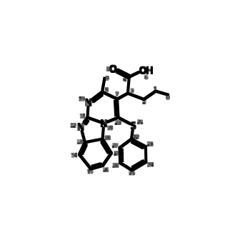 CCCC(C(=O)O)c1c(C)nc2nc3ccccc3n2c1Sc1ccccc1